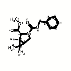 COC(=O)[C@@H]1[C@@H]2C(CN1C(=O)OCc1ccccc1)C2(C)C